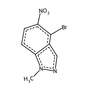 Cn1ncc2c(Br)c([N+](=O)[O-])ccc21